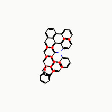 c1ccc(-c2cccc3cccc(-c4ccccc4N(c4ccccc4-c4cccc5ccccc45)c4ccccc4-c4cccc5c4oc4ccccc45)c23)cc1